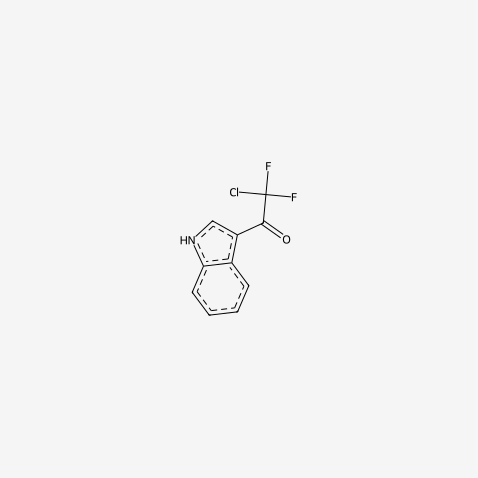 O=C(c1c[nH]c2ccccc12)C(F)(F)Cl